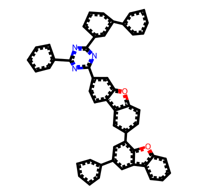 c1ccc(-c2cccc(-c3nc(-c4ccccc4)nc(-c4ccc5c(c4)oc4ccc(-c6cc(-c7ccccc7)cc7c6oc6ccccc67)cc45)n3)c2)cc1